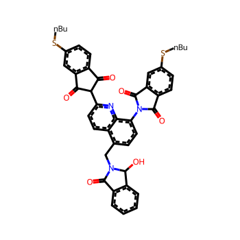 CCCCSc1ccc2c(c1)C(=O)C(c1ccc3c(CN4C(=O)c5ccccc5C4O)ccc(N4C(=O)c5ccc(SCCCC)cc5C4=O)c3n1)C2=O